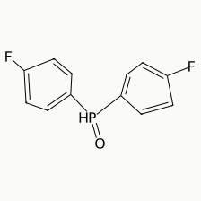 O=[PH](c1ccc(F)cc1)c1ccc(F)cc1